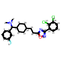 CN(C)C(c1cccc(F)c1)C1CCC(CCc2nc(-c3cccc(Cl)c3Cl)no2)CC1